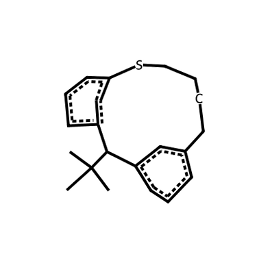 CC(C)(C)C1c2cccc(c2)CCCCSc2cccc1c2